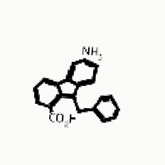 N.O=C(O)c1cccc2c1C(Cc1ccccc1)c1ccccc1-2